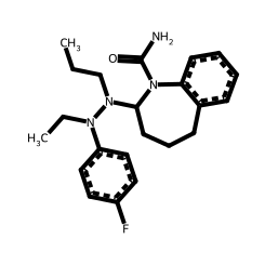 CCCN(C1CCCc2ccccc2N1C(N)=O)N(CC)c1ccc(F)cc1